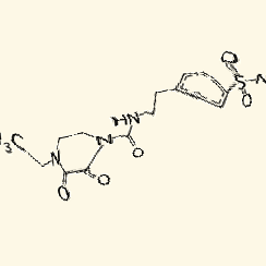 CCN1CCN(C(=O)NCCc2ccc(S(N)(=O)=O)cc2)C(=O)C1=O